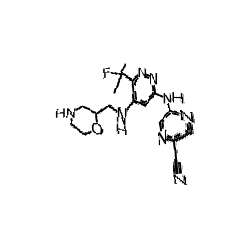 CC(C)(F)c1nnc(Nc2cnc(C#N)cn2)cc1NCC1CNCCO1